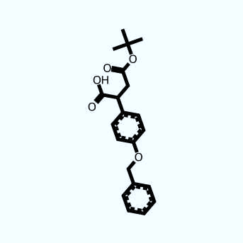 CC(C)(C)OC(=O)CC(C(=O)O)c1ccc(OCc2ccccc2)cc1